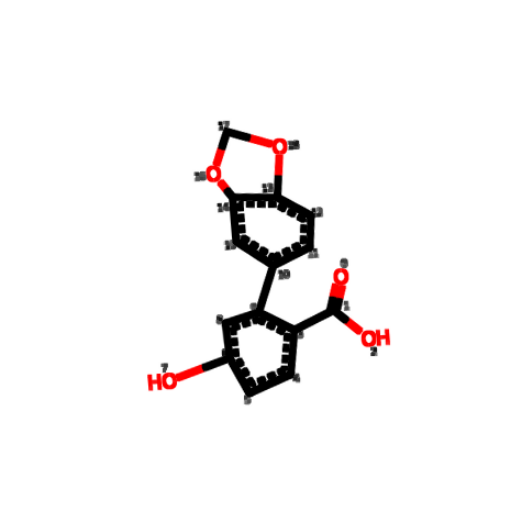 O=C(O)c1ccc(O)cc1-c1ccc2c(c1)OCO2